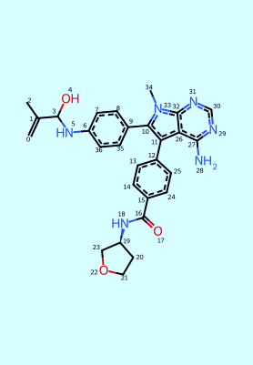 C=C(C)C(O)Nc1ccc(-c2c(-c3ccc(C(=O)N[C@H]4CCOC4)cc3)c3c(N)ncnc3n2C)cc1